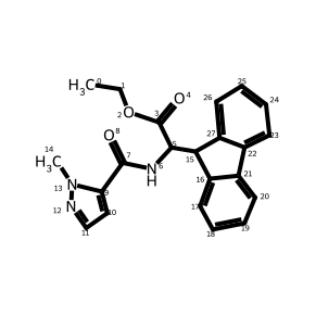 CCOC(=O)C(NC(=O)c1ccnn1C)C1c2ccccc2-c2ccccc21